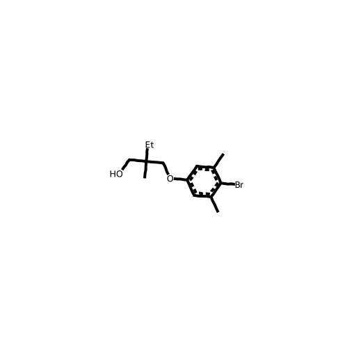 CCC(C)(CO)COc1cc(C)c(Br)c(C)c1